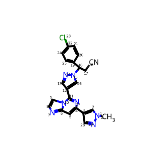 Cn1cc(-c2cc3nccn3c(-c3cnn(C(CC#N)c4ccc(Cl)cc4)c3)n2)cn1